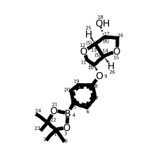 CC1(C)OB(c2ccc(O[C@@H]3CO[C@@H]4[C@H]3OC[C@H]4O)cc2)OC1(C)C